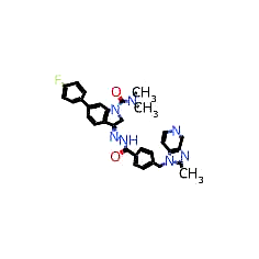 Cc1nc2cnccc2n1Cc1ccc(C(=O)NN=C2CN(C(=O)N(C)C)c3cc(-c4ccc(F)cc4)ccc32)cc1